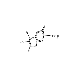 O=C(O)c1cc2cc(Br)c(O)c(O)c2oc1=O